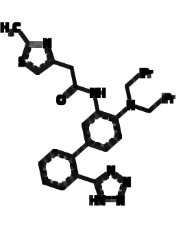 Cc1nc(CC(=O)Nc2cc(-c3ccccc3-c3nnn[nH]3)ccc2N(CC(C)C)CC(C)C)cs1